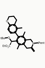 C=C1Cc2c(C)c([C@H](OC(C)(C)C)C(=O)OCC)c(-c3ccc4c(c3C)CCCO4)c(C)c2CN1C(C)CCC